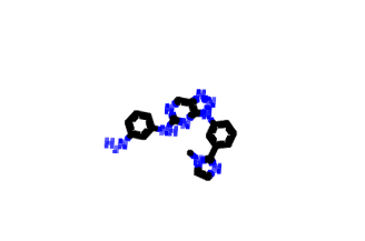 Cn1ccnc1-c1cccc(-n2nnc3cnc(Nc4cccc(N)c4)nc32)c1